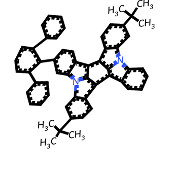 CC(C)(C)c1ccc2c3c4c5ccc(-c6c(-c7ccccc7)cccc6-c6ccccc6)cc5n5c6cc(C(C)(C)C)ccc6c(c6c7ccccc7n(c2c1)c36)c45